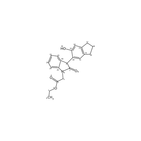 CCOC(=O)CN1C(=O)C(c2cc3c(cc2O)CCC3)c2ccccc21